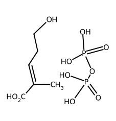 CC(=CCCO)C(=O)O.O=P(O)(O)OP(=O)(O)O